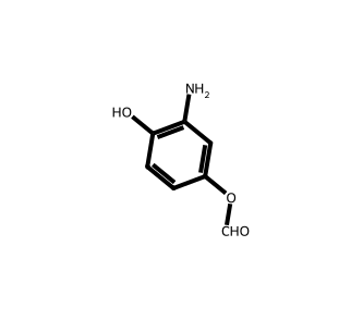 Nc1cc(OC=O)ccc1O